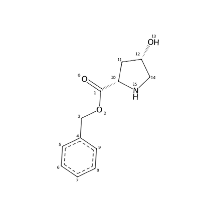 O=C(OCc1ccccc1)[C@@H]1C[C@H](O)CN1